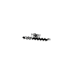 C=COOOOOCCCCCCCCCCCC(C)C.O=P(O)(O)O